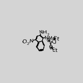 CCO[PH](=O)OCC.CNc1c(N)cc([N+](=O)[O-])c2ccccc12